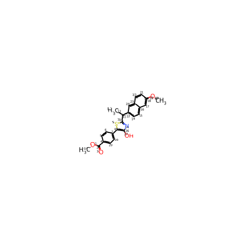 COC(=O)c1ccc(-c2sc(C(C)c3ccc4cc(OC)ccc4c3)nc2O)cc1